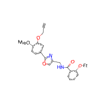 C#CCOc1cc(-c2nc(CNC(=O)c3ccccc3OCC)co2)ccc1OC